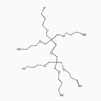 SCCCOCC(COCCCS)(COCCCS)COCC(COCCCS)(COCCCS)COCCCS